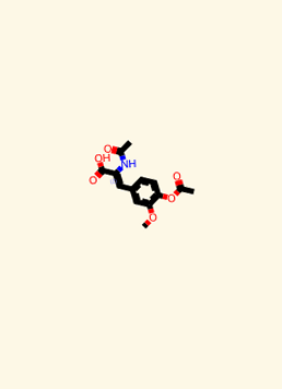 COc1cc(/C=C(\NC(C)=O)C(=O)O)ccc1OC(C)=O